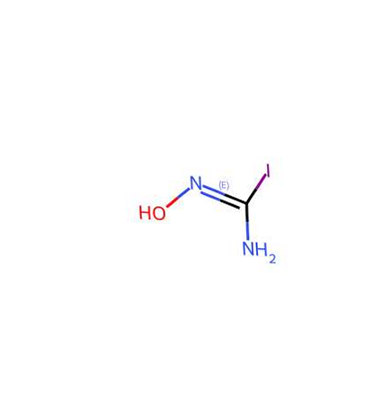 N/C(I)=N\O